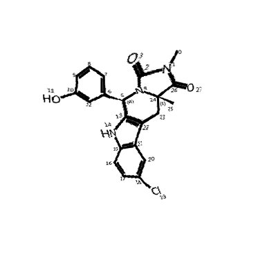 CN1C(=O)N2[C@H](c3cccc(O)c3)c3[nH]c4ccc(Cl)cc4c3C[C@@]2(C)C1=O